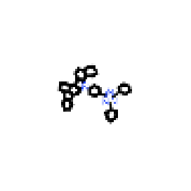 c1ccc(-c2nc(-c3ccccc3)nc(-c3ccc(-n4c5cc6c7c(cccc7c5c5ccc7ccccc7c54)-c4ccccc4-6)cc3)n2)cc1